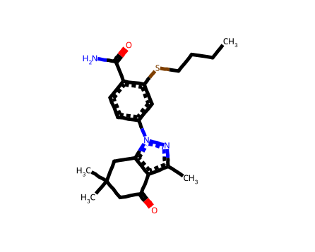 CCCCSc1cc(-n2nc(C)c3c2CC(C)(C)CC3=O)ccc1C(N)=O